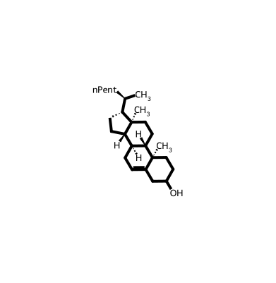 CCCCC[C@@H](C)[C@H]1CC[C@H]2[C@@H]3CC=C4CC(O)CC[C@]4(C)[C@H]3CC[C@]12C